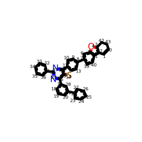 C1=Cc2c(oc3cc(-c4ccc5c(c4)sc4c(-c6cccc(-c7ccccc7)c6)nc(-c6ccccc6)nc45)ccc23)CC1